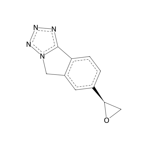 c1cc2c(cc1[C@H]1CO1)Cn1nnnc1-2